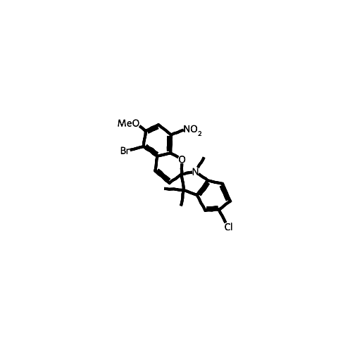 COc1cc([N+](=O)[O-])c2c(c1Br)C=CC1(O2)N(C)c2ccc(Cl)cc2C1(C)C